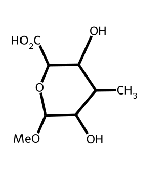 COC1OC(C(=O)O)C(O)C(C)C1O